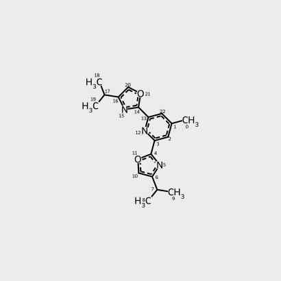 Cc1cc(-c2nc(C(C)C)co2)nc(-c2nc(C(C)C)co2)c1